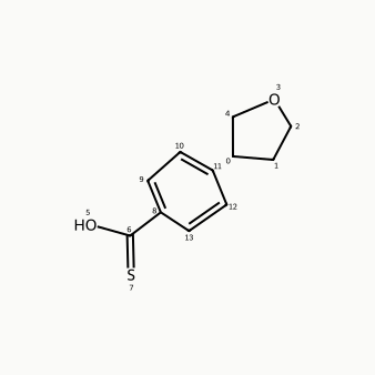 C1CCOC1.OC(=S)c1ccccc1